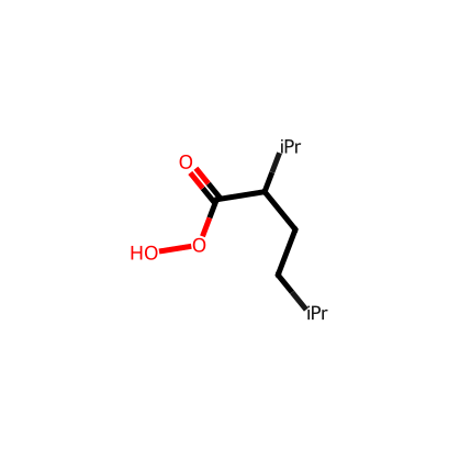 CC(C)CCC(C(=O)OO)C(C)C